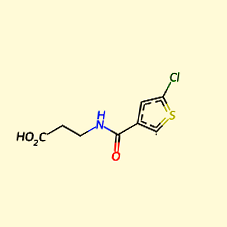 O=C(O)CCNC(=O)c1[c]sc(Cl)c1